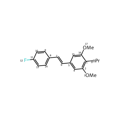 CCCc1c(OC)cc(C=Cc2ccc(F)cc2)cc1OC